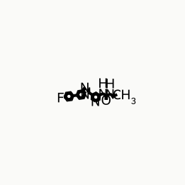 CCNC(=O)Nc1cncc(-c2cnc3cc(-c4ccc(F)cc4)ccn23)c1